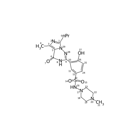 CCCc1nc(C)c2c(=O)[nH]c(-c3cc(S(=O)(=O)NN4CCN(C)CC4)ccc3O)nn12